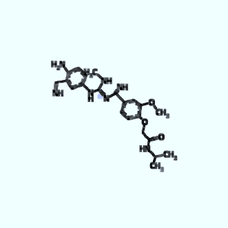 CN/C(=N\C(=N)c1ccc(OCC(=O)NC(C)C)c(OC)c1)Nc1ccc(N)c(C=N)c1